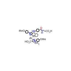 COc1ccc(-n2cc(C(Nc3ccc(C(=O)NCCC(=O)O)cc3)C3CCCCC3)c(C(C)C)n2)cc1.COc1ccc([N+]2(C)C=C(C(=O)O)C(C(C)C)=N2)cc1